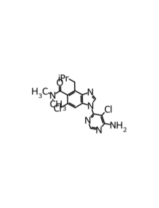 CC(C)Cc1c(C(=O)N(C)C)c(Cl)cc2c1ncn2-c1ncnc(N)c1Cl